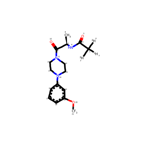 [2H]C([2H])([2H])C(=O)N[C@H](C)C(=O)N1CCN(c2cccc(OC(F)(F)F)c2)CC1